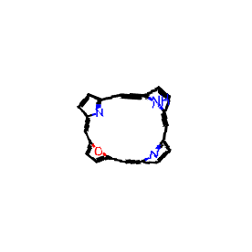 C1=Cc2cc3ccc(cc4nc(cc5ccc(cc1n2)[nH]5)C=C4)o3